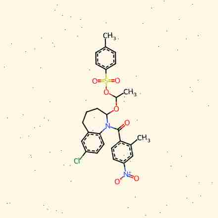 Cc1ccc(S(=O)(=O)OC(C)OC2CCCc3cc(Cl)ccc3N2C(=O)c2ccc([N+](=O)[O-])cc2C)cc1